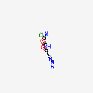 CC1(C)C(NC(=O)c2ccc(C#CC3CCN(C4CNC4)CC3)cc2)C(C)(C)C1Oc1ccc(C#N)c(Cl)c1